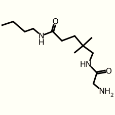 CCCCNC(=O)CCC(C)(C)CNC(=O)CN